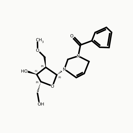 COC[C@@H]1[C@H](O)[C@@H](CO)O[C@H]1N1C=CCN(C(=O)c2ccccc2)C1